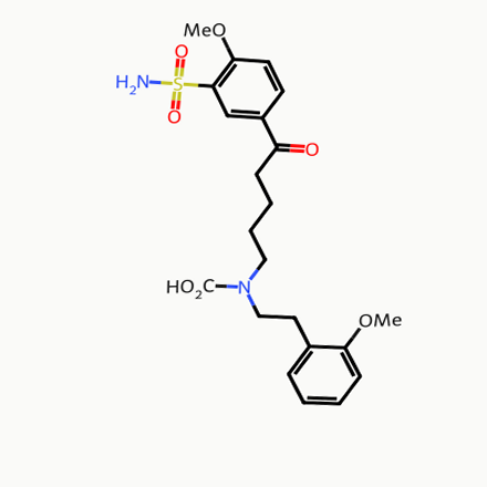 COc1ccccc1CCN(CCCCC(=O)c1ccc(OC)c(S(N)(=O)=O)c1)C(=O)O